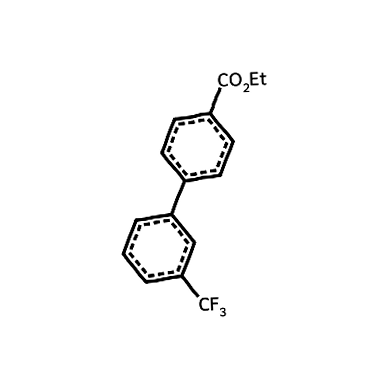 CCOC(=O)c1ccc(-c2cccc(C(F)(F)F)c2)cc1